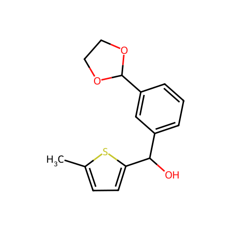 Cc1ccc(C(O)c2cccc(C3OCCO3)c2)s1